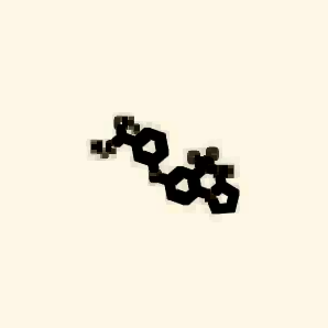 CC(C)c1cccc(Oc2ccc3c(c2)S(=O)(=O)NC2CCCN32)c1